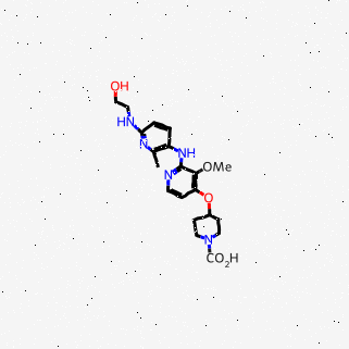 COc1c(OC2CCN(C(=O)O)CC2)ccnc1Nc1ccc(NCCO)nc1C